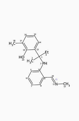 CCC(C)(Pc1ccccc1/C=N/C)c1cccc(C)c1O